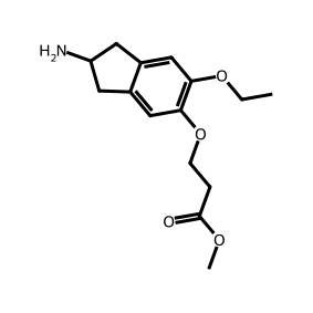 CCOc1cc2c(cc1OCCC(=O)OC)CC(N)C2